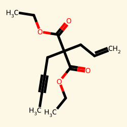 C=CCC(CC#CC)(C(=O)OCC)C(=O)OCC